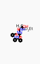 CCOC(=O)C(C)(O)CNC(=O)c1ncc(C(=O)NC(c2ccccc2)c2ccccc2)c(OCc2ccccc2)n1